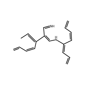 C=C/C=C\C(=C/C=C)N/C=C(C=N)/C(/C=C\C=C)=C/C